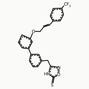 FC(F)(F)c1ccc(C=CCOc2cccc(-c3cccc(Cc4noc(=S)[nH]4)c3)c2)cc1